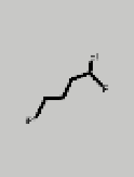 CCC(F)CCCC(C)C